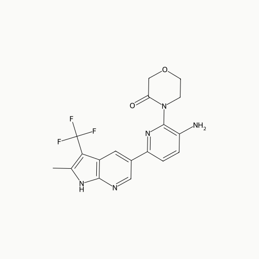 Cc1[nH]c2ncc(-c3ccc(N)c(N4CCOCC4=O)n3)cc2c1C(F)(F)F